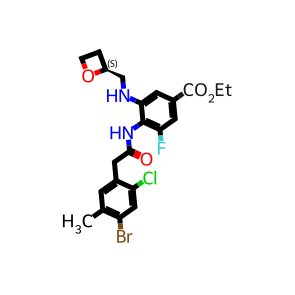 CCOC(=O)c1cc(F)c(NC(=O)Cc2cc(C)c(Br)cc2Cl)c(NC[C@@H]2CCO2)c1